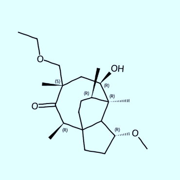 CCOC[C@]1(C)C[C@@H](O)[C@@]2(C)C3[C@H](OC)CCC3(CC[C@H]2C)[C@@H](C)C1=O